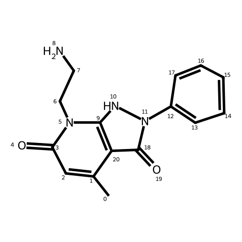 Cc1cc(=O)n(CCN)c2[nH]n(-c3ccccc3)c(=O)c12